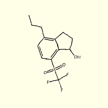 CCCc1ccc(S(=O)(=O)C(F)(F)F)c2c1CCC2O